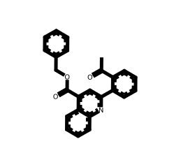 CC(=O)c1ccccc1-c1cc(C(=O)OCc2ccccc2)c2ccccc2n1